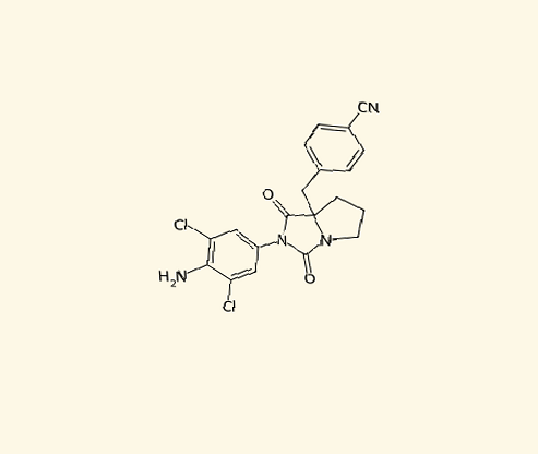 N#Cc1ccc(CC23CCCN2C(=O)N(c2cc(Cl)c(N)c(Cl)c2)C3=O)cc1